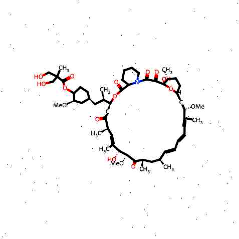 CO[C@H]1C[C@@H]2CC[C@@H](C)[C@@](O)(O2)C(=O)C(=O)N2CCCCC2C(=O)O[C@H]([C@H](C)C[C@@H]2CCC(OC(=O)C(C)(CO)CO)[C@H](OC)C2)CC(=O)[C@H](C)/C=C(\C)[C@@H](O)[C@@H](OC)C(=O)[C@H](C)C[C@H](C)/C=C/C=C/C=C/1C